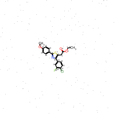 CCOC(=O)Cc1sc(-c2ccc(OC)cc2)nc1-c1ccc(Cl)c(F)c1